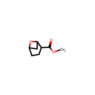 COC(=O)C1CCC2CC1O2